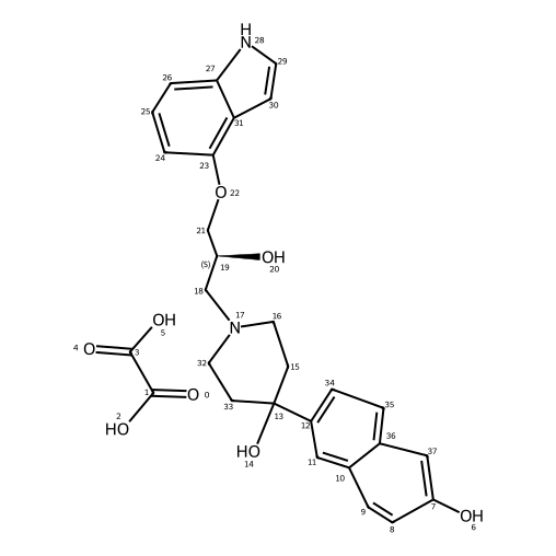 O=C(O)C(=O)O.Oc1ccc2cc(C3(O)CCN(C[C@H](O)COc4cccc5[nH]ccc45)CC3)ccc2c1